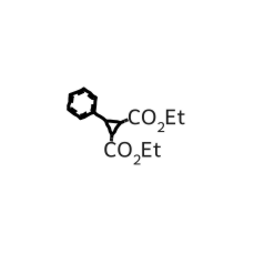 CCOC(=O)C1C(C(=O)OCC)C1c1ccccc1